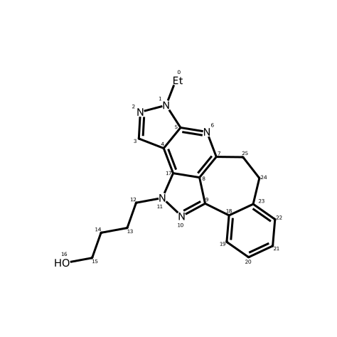 CCn1ncc2c1nc1c3c(nn(CCCCO)c32)-c2ccccc2CC1